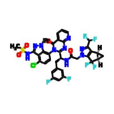 CC(C)n1nc(NS(C)(=O)=O)c2c(Cl)ccc(-n3c([C@H](Cc4cc(F)cc(F)c4)NC(=O)Cn4nc(C(F)F)c5c4C(F)(F)[C@@H]4C[C@H]54)nc4ncccc4c3=O)c21